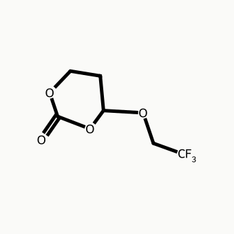 O=C1OCCC(OCC(F)(F)F)O1